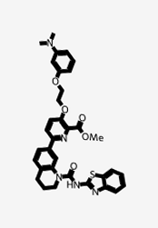 COC(=O)c1nc(-c2ccc3c(c2)N(C(=O)Nc2nc4ccccc4s2)CCC3)ccc1OCCOc1cccc(N(C)C)c1